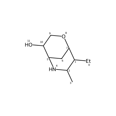 CCC1C(C)NC2CC1OCC2O